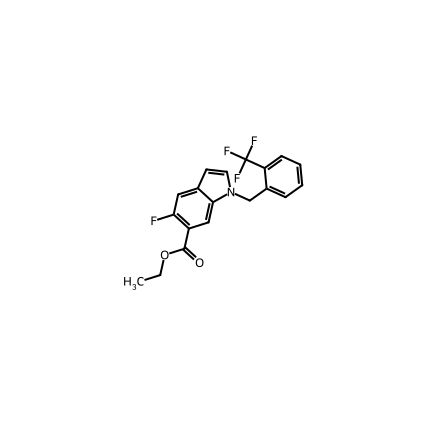 CCOC(=O)c1cc2c(ccn2Cc2ccccc2C(F)(F)F)cc1F